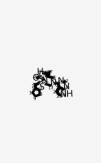 C[SH](=O)(c1cc2c(s1)CCC2)N1CCN(c2ncnc3[nH]ccc23)CC12CC2